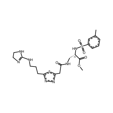 COC(=O)[C@H](CNC(=O)Cc1nnc(CCCNC2=NCCN2)s1)NS(=O)(=O)c1cccc(C)c1